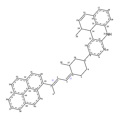 C/C(=C\C=C1\CCC(c2cnc3c(c2)C2c4c(cccc4N3)C=CC2C)CC1C)c1ccc2ccc3cccc4ccc1c2c34